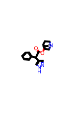 O=C(OC1CN2CCC1CC2)C(c1ccccc1)c1cn[nH]c1